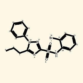 CCCc1nc(S(=O)(=O)Nc2ccccc2Br)nn1-c1ccccc1